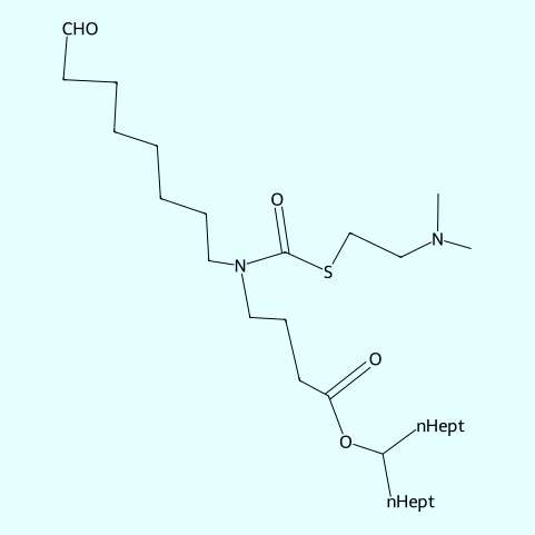 CCCCCCCC(CCCCCCC)OC(=O)CCCN(CCCCCCCC=O)C(=O)SCCN(C)C